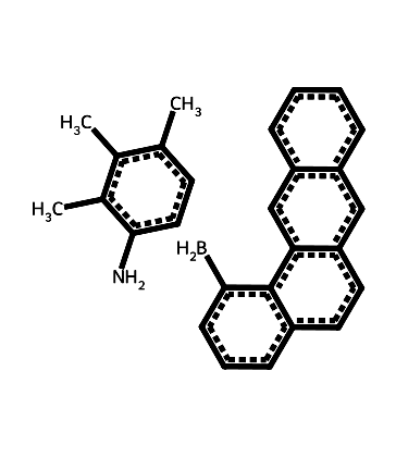 Bc1cccc2ccc3cc4ccccc4cc3c12.Cc1ccc(N)c(C)c1C